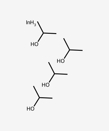 CC(C)O.CC(C)O.CC(C)O.CC(C)O.[InH3]